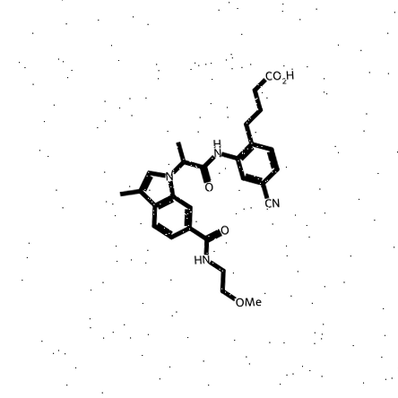 COCCNC(=O)c1ccc2c(C)cn(C(C)C(=O)Nc3cc(C#N)ccc3CCCC(=O)O)c2c1